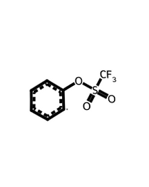 O=S(=O)(Oc1[c]cccc1)C(F)(F)F